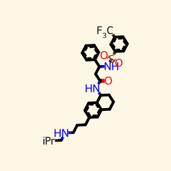 CC(C)CNCCCc1ccc2c(c1)CCCC2NC(=O)CC(NS(=O)(=O)c1cccc(C(F)(F)F)c1)c1ccccc1